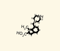 Cn1c(C(=O)O)cc2cccc(CN3CCNCC3)c21